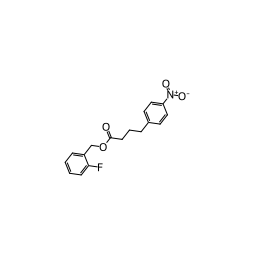 O=C(CCCc1ccc([N+](=O)[O-])cc1)OCc1ccccc1F